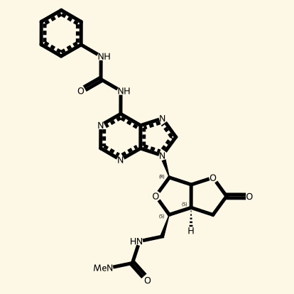 CNC(=O)NC[C@H]1O[C@@H](n2cnc3c(NC(=O)Nc4ccccc4)ncnc32)C2OC(=O)C[C@H]21